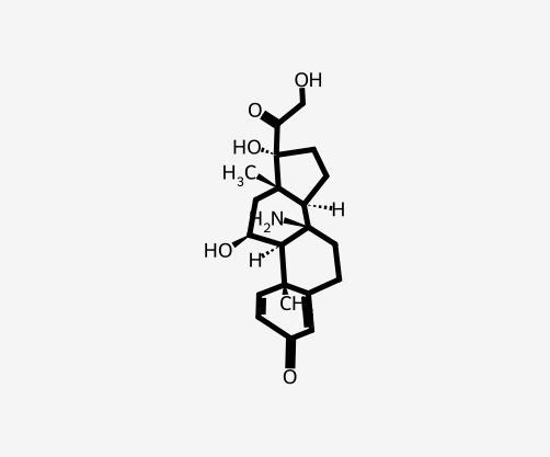 C[C@]12C=CC(=O)C=C1CC[C@]1(N)[C@@H]2[C@@H](O)C[C@@]2(C)[C@H]1CC[C@]2(O)C(=O)CO